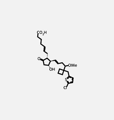 COC(CC=C[C@H]1[C@H](O)CC(=O)[C@@H]1CC=CCCCC(=O)O)C1(Cc2ccc(Cl)s2)CCC1